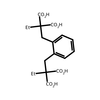 CCC(Cc1ccccc1CC(CC)(C(=O)O)C(=O)O)(C(=O)O)C(=O)O